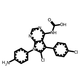 Nc1ccc(-n2c(Cl)c(-c3ccc(Cl)cc3)c3c(NC(=O)O)ncnc32)cc1